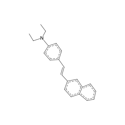 CCN(CC)c1ccc(C=Cc2ccc3ccccc3c2)cc1